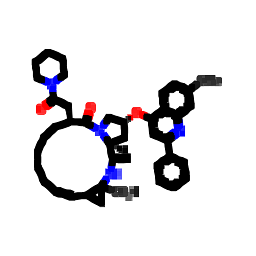 C=C1NC2(C(=O)O)CC2/C=C\CCCCC[C@@H](CC(=O)N2CCCCC2)C(=O)N2C[C@H](Oc3cc(-c4ccccc4)nc4cc(OC)ccc34)C[C@@H]12